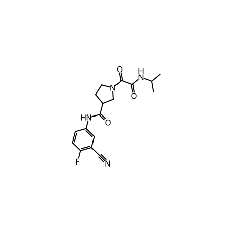 CC(C)NC(=O)C(=O)N1CCC(C(=O)Nc2ccc(F)c(C#N)c2)C1